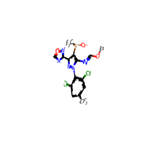 CCOC=Nc1c([S+]([O-])C(F)(F)F)c(-c2ncon2)nn1-c1c(Cl)cc(C(F)(F)F)cc1Cl